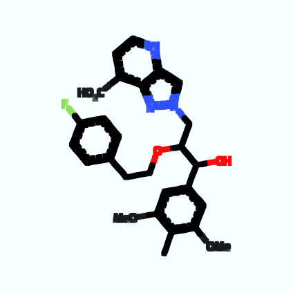 COc1cc(C(O)C(Cn2cc3nccc(C(=O)O)c3n2)OCCc2ccc(F)cc2)cc(OC)c1C